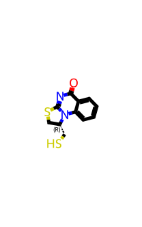 O=c1nc2n(c3ccccc13)[C@H](CS)CS2